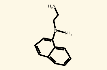 NCCN(N)c1cccc2ccccc12